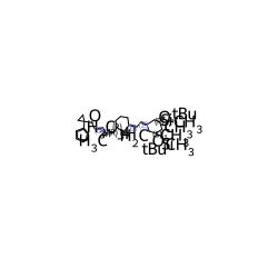 C=C1/C(=C\C=C2/CCC[C@]3(C)[C@@H]([C@H](C)/C=C/C(=O)C4(c5ccccc5)CC4)CC[C@@H]23)C[C@@H](O[Si](C)(C)C(C)(C)C)C[C@@H]1O[Si](C)(C)C(C)(C)C